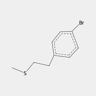 CSCCc1ccc(Br)cc1